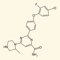 CC1CNCCN1c1cc(C(N)=O)nc(-c2ccc(Oc3ccc(Cl)cc3F)cc2)n1